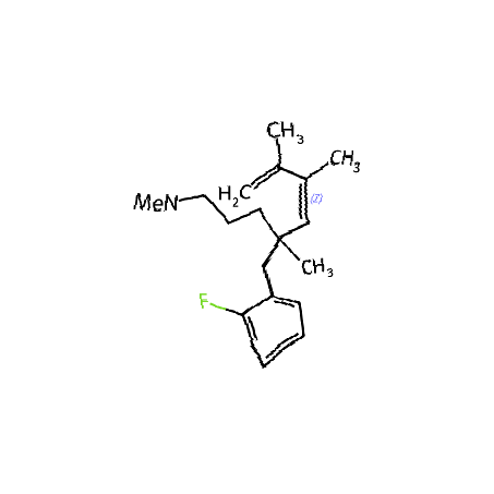 C=C(C)/C(C)=C\C(C)(CCCNC)Cc1ccccc1F